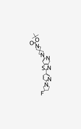 CC(C)(C)OC(=O)N1CC2(C1)CN(c1cc3sc(-c4ccc(N5CC[C@@H](F)C5)nc4)nc3cn1)C2